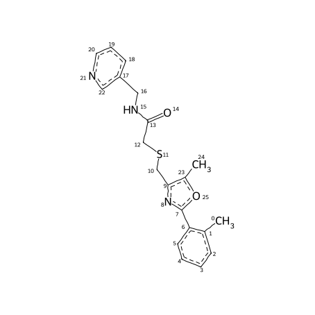 Cc1ccccc1-c1nc(CSCC(=O)NCc2cccnc2)c(C)o1